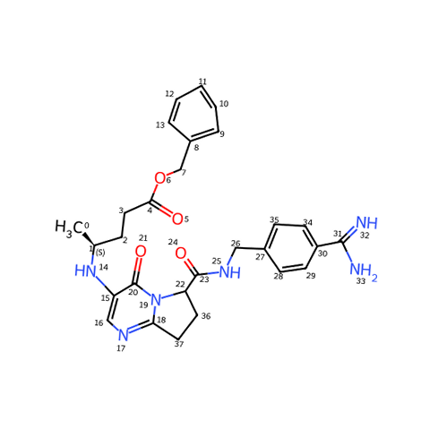 C[C@@H](CCC(=O)OCc1ccccc1)Nc1cnc2n(c1=O)C(C(=O)NCc1ccc(C(=N)N)cc1)CC2